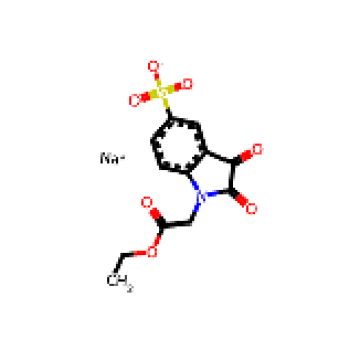 CCOC(=O)CN1C(=O)C(=O)c2cc(S(=O)(=O)[O-])ccc21.[Na+]